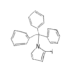 Ic1cccn1C(c1ccccc1)(c1ccccc1)c1ccccc1